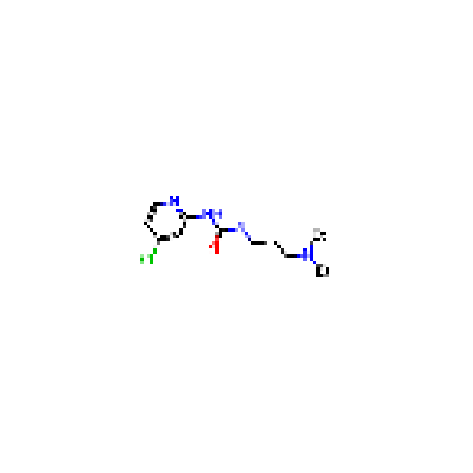 CCN(CC)CCCNC(=O)Nc1cc(Cl)ccn1